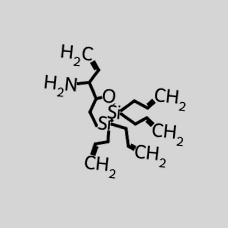 C=CC[Si]1(CC=C)CCC(C(N)C=C)O[Si]1(CC=C)CC=C